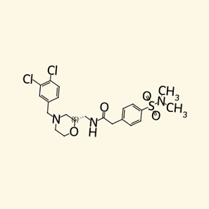 CN(C)S(=O)(=O)c1ccc(CC(=O)NC[C@H]2CN(Cc3ccc(Cl)c(Cl)c3)CCO2)cc1